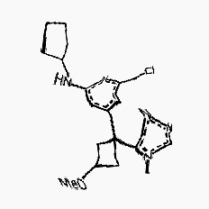 COC1CC(c2cc(Cl)nc(NC3CCCC3)c2)(c2nncn2C)C1